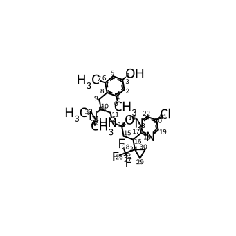 Cc1cc(O)cc(C)c1C[C@@H](CNC(=O)CC(c1ncc(Cl)cn1)C1(C(F)(F)F)CC1)N(C)C